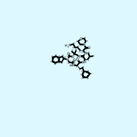 CC(C)C[C@@H](NC(=O)[C@@H](CCc1ccccc1)NC(=O)CN(C(=O)OC(C)(C)C)C1Cc2ccccc2C1)C(=O)N[C@H](CCCCN)C(=O)N1CCOCC1